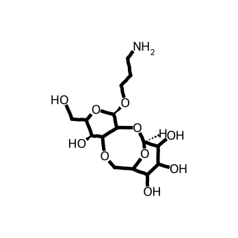 NCCCO[C@@H]1OC(CO)[C@H](O)C2OCC3O[C@@H](OC21)C(O)C(O)C3O